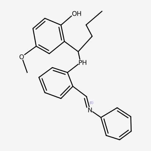 CCCC(Pc1ccccc1/C=N/c1ccccc1)c1cc(OC)ccc1O